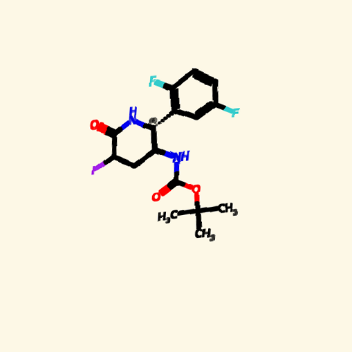 CC(C)(C)OC(=O)NC1CC(I)C(=O)N[C@@H]1c1cc(F)ccc1F